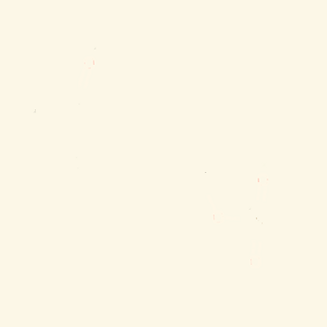 Cc1cc(COS(C)(=O)=O)cc2c1CCC2=O